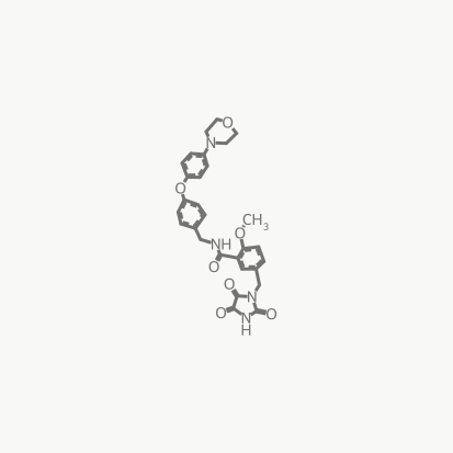 COc1ccc(CN2C(=O)NC(=O)C2=O)cc1C(=O)NCc1ccc(Oc2ccc(N3CCOCC3)cc2)cc1